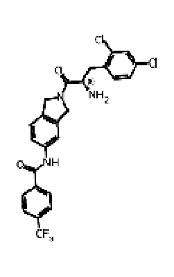 N[C@H](Cc1ccc(Cl)cc1Cl)C(=O)N1Cc2ccc(NC(=O)c3ccc(C(F)(F)F)cc3)cc2C1